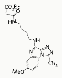 CCOC(=O)CC(=O)NCCCCNc1nc2cc(OC)ccc2n2c(C)nnc12